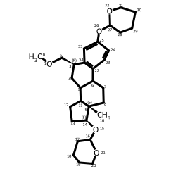 COC[C@@H]1CC2C(CC[C@@]3(C)C2CC[C@@H]3OC2CCCCO2)c2ccc(OC3CCCCO3)cc21